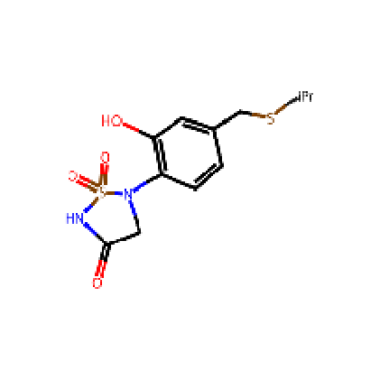 CC(C)SCc1ccc(N2CC(=O)NS2(=O)=O)c(O)c1